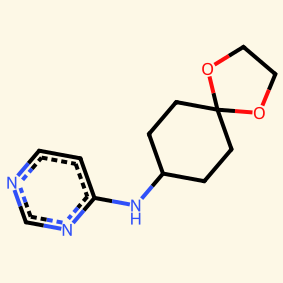 c1cc(NC2CCC3(CC2)OCCO3)ncn1